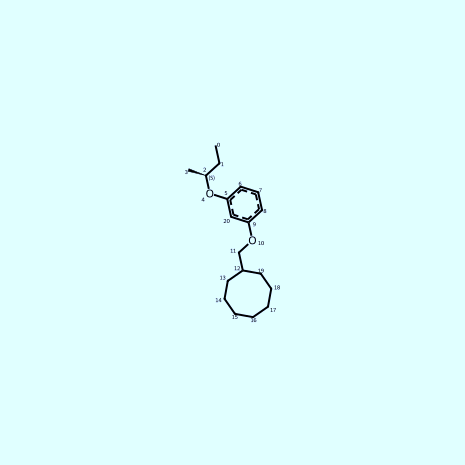 CC[C@H](C)Oc1cccc(OCC2CCCCCCC2)c1